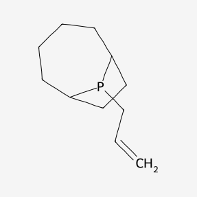 C=CCP1C2CCCCC1CC2